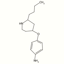 CCCCC1CC(Oc2ccc(N)cc2)CCN1